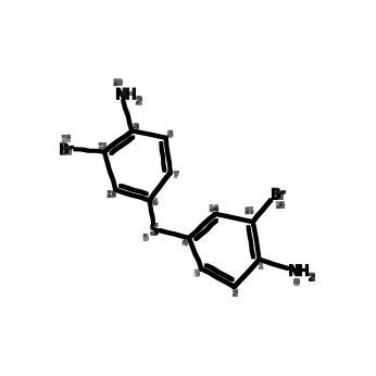 Nc1ccc(Sc2ccc(N)c(Br)c2)cc1Br